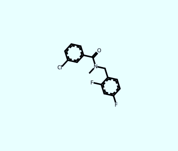 CN(Cc1ccc(F)cc1F)C(=O)c1cccc(Cl)c1